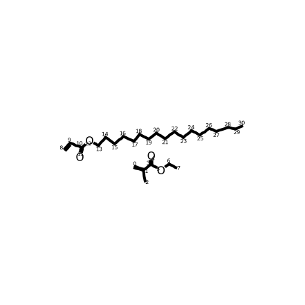 C=C(C)C(=O)OCC.C=CC(=O)OCCCCCCCCCCCCCCCCCC